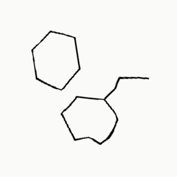 C1CCCCC1.CCC1CCCCC1